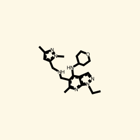 CCn1ncc2c(NC3CCOCC3)c(CNCc3cc(C)nn3C)c(C)nc21